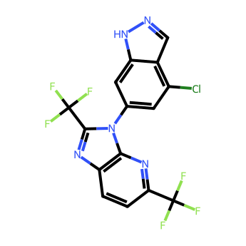 FC(F)(F)c1ccc2nc(C(F)(F)F)n(-c3cc(Cl)c4cn[nH]c4c3)c2n1